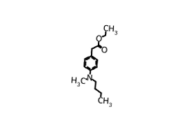 CCCCN(C)c1ccc(CC(=O)OCC)cc1